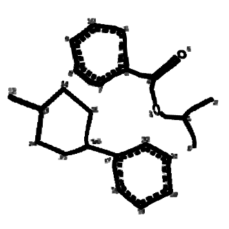 CC(C)OC(=O)c1ccccc1.CC1CCC(c2ccccc2)CC1